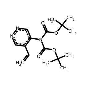 C=Cc1cnncc1N(C(=O)OC(C)(C)C)C(=O)OC(C)(C)C